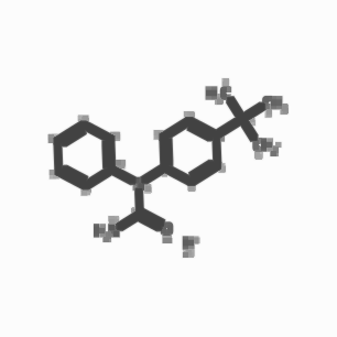 [CH2]C(C)(C)c1ccc(N(C(N)=O)c2ccccc2)cc1.[H+]